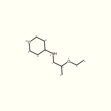 CCOC(C)CNC1CCOCC1